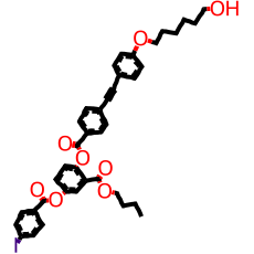 CCCCOC(=O)c1cc(OC(=O)c2ccc(I)cc2)ccc1OC(=O)c1ccc(C#Cc2ccc(OCCCCCCO)cc2)cc1